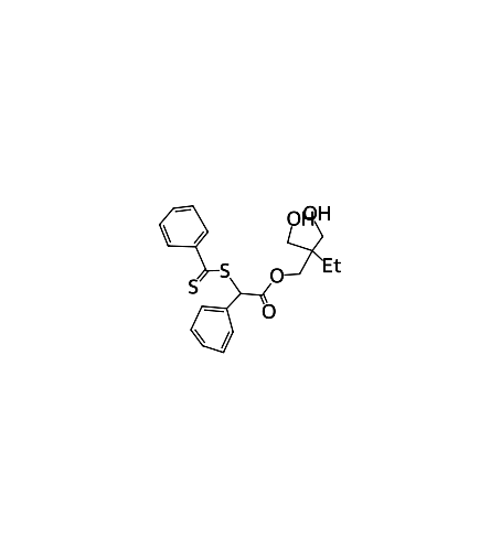 CCC(CO)(CO)COC(=O)C(SC(=S)c1ccccc1)c1ccccc1